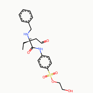 CC[C@](CC=O)(NCc1ccccc1)C(=O)Nc1ccc(S(=O)(=O)OCCO)cc1